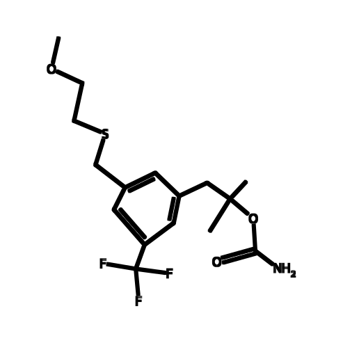 COCCSCc1cc(CC(C)(C)OC(N)=O)cc(C(F)(F)F)c1